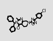 Cc1nc2c(c(=O)n1C(c1ccccc1)c1ccccc1)CCN(c1nc(-c3ccc(Cl)cc3)no1)C2